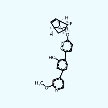 COc1cc(-c2ccc(-c3ccc(O[C@@H]4C[C@H]5C=C[C@@H]([C@@H]4F)N5C)nn3)c(O)c2)ccn1